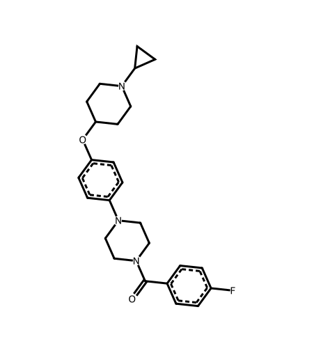 O=C(c1ccc(F)cc1)N1CCN(c2ccc(OC3CCN(C4CC4)CC3)cc2)CC1